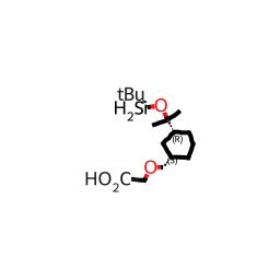 CC(C)(C)[SiH2]OC(C)(C)[C@@H]1CCC[C@H](COCC(=O)O)C1